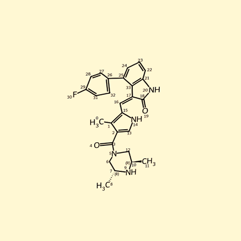 Cc1c(C(=O)N2C[C@@H](C)N[C@H](C)C2)c[nH]c1C=C1C(=O)Nc2cccc(-c3ccc(F)cc3)c21